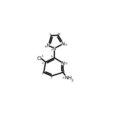 Nc1ccc(Cl)c(-n2nccn2)n1